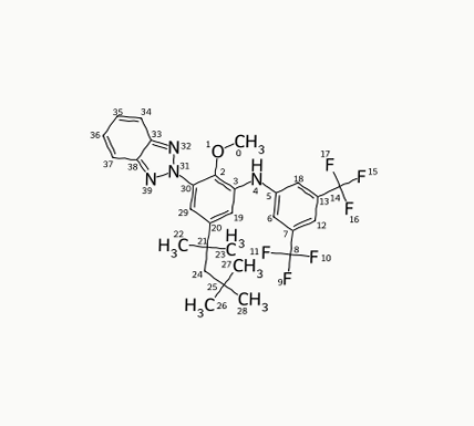 COc1c(Nc2cc(C(F)(F)F)cc(C(F)(F)F)c2)cc(C(C)(C)CC(C)(C)C)cc1-n1nc2ccccc2n1